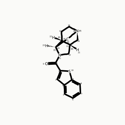 O=C(c1cc2ccccc2s1)N1C[C@H]2C[N@]3CC[C@H]2[C@H]1C3